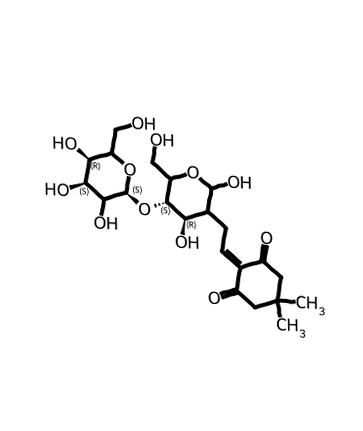 CC1(C)CC(=O)C(=CCC2C(O)OC(CO)[C@@H](O[C@@H]3OC(CO)[C@H](O)[C@H](O)C3O)[C@@H]2O)C(=O)C1